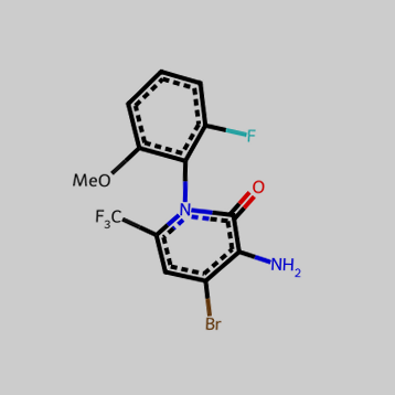 COc1cccc(F)c1-n1c(C(F)(F)F)cc(Br)c(N)c1=O